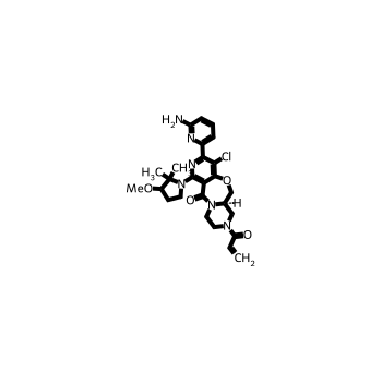 C=CC(=O)N1CCN2C(=O)c3c(N4CCC(OC)C4(C)C)nc(-c4cccc(N)n4)c(Cl)c3OC[C@H]2C1